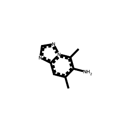 Cc1cc2ncnn2c(C)c1N